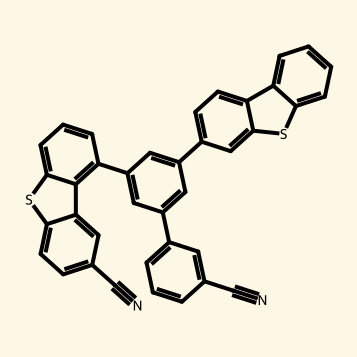 N#Cc1cccc(-c2cc(-c3ccc4c(c3)sc3ccccc34)cc(-c3cccc4sc5ccc(C#N)cc5c34)c2)c1